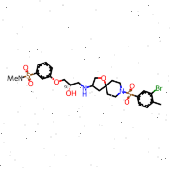 CNS(=O)(=O)c1cccc(OC[C@@H](O)CNC2COC3(CCN(S(=O)(=O)c4ccc(C)c(Br)c4)CC3)C2)c1